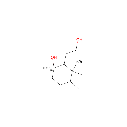 CCCCC1(C)C(C)CC[C@@](C)(O)C1CCO